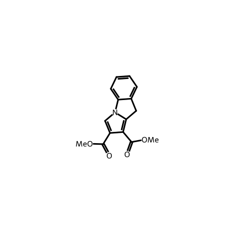 COC(=O)c1cn2c(c1C(=O)OC)Cc1ccccc1-2